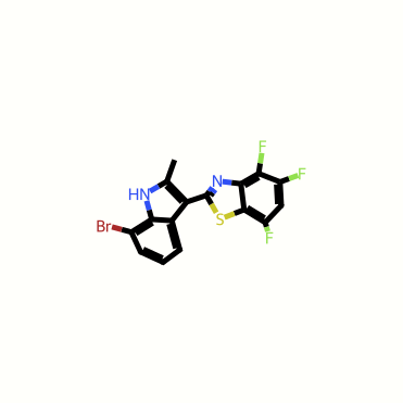 Cc1[nH]c2c(Br)cccc2c1-c1nc2c(F)c(F)cc(F)c2s1